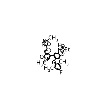 CCS(=O)(=O)Nc1ccc(Oc2c(C)cc(F)cc2C)c(-c2cn(C)c(=O)c3cc(-c4nnc(C)o4)oc23)c1